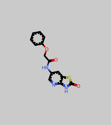 O=C(COc1ccccc1)Nc1cnc2[nH]c(=O)sc2c1